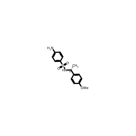 COc1ccc([C@@H](C)NS(=O)(=O)c2ccc(N)cc2)cc1